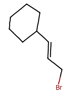 BrCC=CC1CCCCC1